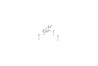 [Co+2].[I-].[I-].[I-].[Li+]